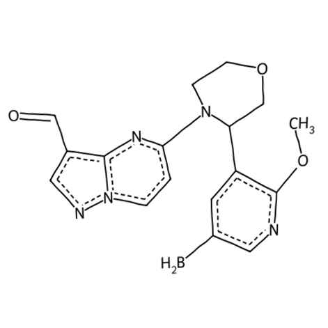 Bc1cnc(OC)c(C2COCCN2c2ccn3ncc(C=O)c3n2)c1